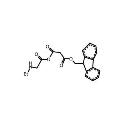 CCNCC(=O)OC(=O)CC(=O)OCC1c2ccccc2-c2ccccc21